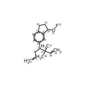 C=CCC(c1ccc2c(c1)C(OF)CC2)C(C)(C)C=C